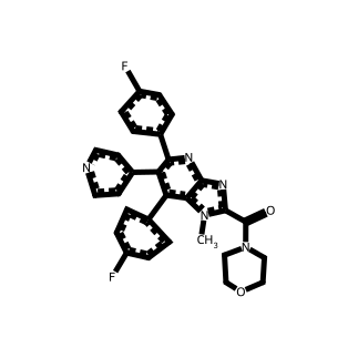 Cn1c(C(=O)N2CCOCC2)nc2nc(-c3ccc(F)cc3)c(-c3ccncc3)c(-c3ccc(F)cc3)c21